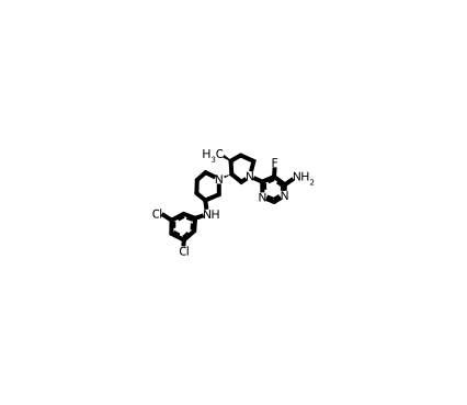 C[C@H]1CCN(c2ncnc(N)c2F)C[C@@H]1N1CCCC(Nc2cc(Cl)cc(Cl)c2)C1